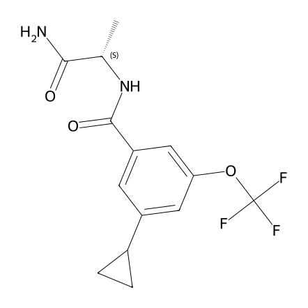 C[C@H](NC(=O)c1cc(OC(F)(F)F)cc(C2CC2)c1)C(N)=O